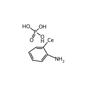 Nc1cccc[c]1[Ce].O=P(O)(O)O